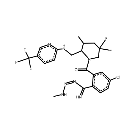 CN/N=N\C(=N)c1ccc(Cl)cc1C(=O)N1CC(F)(F)CC(C)C1CNc1ccc(C(F)(F)F)cn1